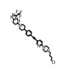 O=CCCCN1CCN(c2ccc(C#Cc3ccc(C4CCN(C5=Nn6c(nnc6C(F)(F)F)CC5)CC4)cc3)cn2)CC1